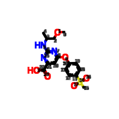 COCC(C)Nc1nc(Oc2ccc(S(C)(=O)=O)cc2)cc(C(=O)O)n1